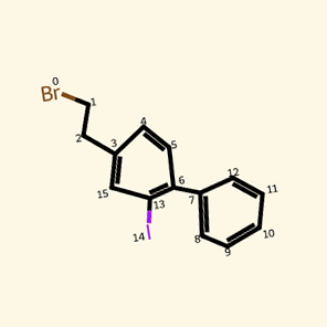 BrCCc1ccc(-c2ccccc2)c(I)c1